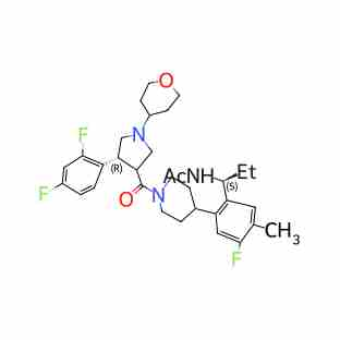 CC[C@H](NC(C)=O)c1cc(C)c(F)cc1C1CCN(C(=O)C2CN(C3CCOCC3)C[C@H]2c2ccc(F)cc2F)CC1